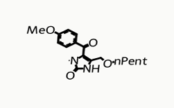 CCCCCOCC1=C(C(=O)c2ccc(OC)cc2)[N]C(=O)N1